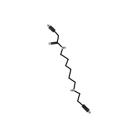 N#CCCNCCCCCCNC(=O)CC#N